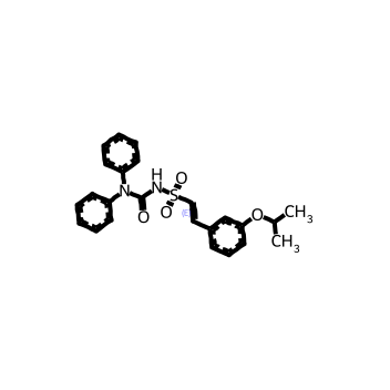 CC(C)Oc1cccc(/C=C/S(=O)(=O)NC(=O)N(c2ccccc2)c2ccccc2)c1